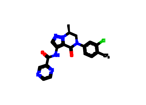 C[C@H]1CN(c2ccc(C(F)(F)F)c(Cl)c2)C(=O)c2c(NC(=O)c3cnccn3)cnn21